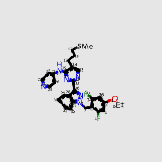 CCOc1cc(F)c(Cn2nc(-c3ncc(CCCSC)c(Nc4ccncc4)n3)c3ccccc32)c(F)c1